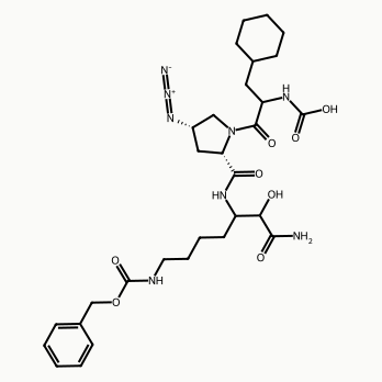 [N-]=[N+]=N[C@H]1C[C@@H](C(=O)NC(CCCCNC(=O)OCc2ccccc2)C(O)C(N)=O)N(C(=O)C(CC2CCCCC2)NC(=O)O)C1